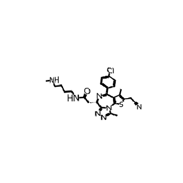 CNCCCCNC(=O)C[C@@H]1N=C(c2ccc(Cl)cc2)c2c(sc(CC#N)c2C)-n2c(C)nnc21